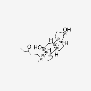 CCC(=O)CC[C@@H](C)[C@H]1CC[C@H]2[C@@H]3CC[C@@H]4C[C@H](O)CC[C@]4(C)[C@H]3C[C@H](O)[C@]12C